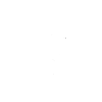 O=C1/C(=C2/C(=O)N(CN3CCCCC3)c3ccccc32)Nc2ccccc21